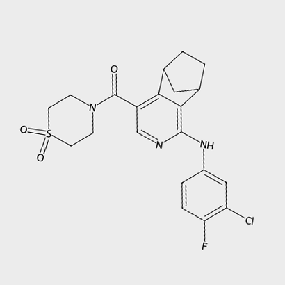 O=C(c1cnc(Nc2ccc(F)c(Cl)c2)c2c1C1CCC2C1)N1CCS(=O)(=O)CC1